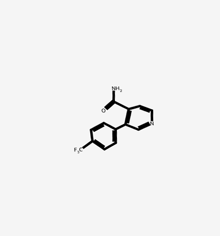 NC(=O)c1ccncc1-c1ccc(C(F)(F)F)cc1